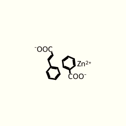 O=C([O-])/C=C/c1ccccc1.O=C([O-])c1ccccc1.[Zn+2]